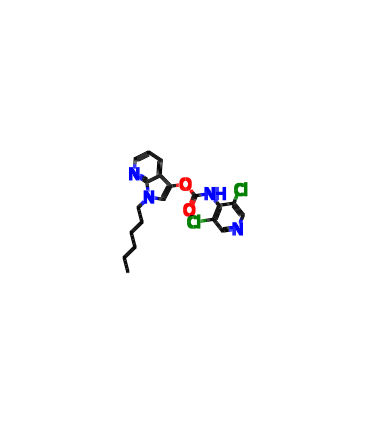 CCCCCCn1cc(OC(=O)Nc2c(Cl)cncc2Cl)c2cccnc21